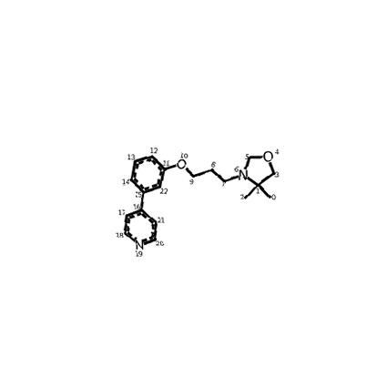 CC1(C)COCN1CCCOc1cccc(-c2ccncc2)c1